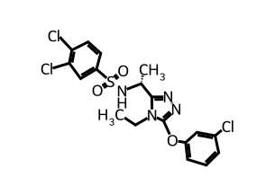 CCn1c(Oc2cccc(Cl)c2)nnc1[C@@H](C)NS(=O)(=O)c1ccc(Cl)c(Cl)c1